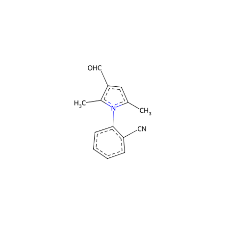 Cc1cc(C=O)c(C)n1-c1ccccc1C#N